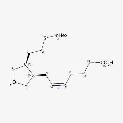 CCCCCCSCC[C@@H]1COC[C@@H]1C/C=C\CCCC(=O)O